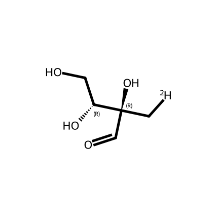 [2H]C[C@](O)(C=O)[C@H](O)CO